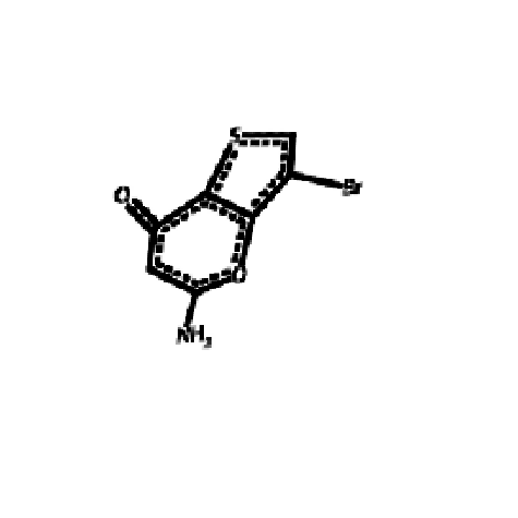 Nc1cc(=O)c2scc(Br)c2o1